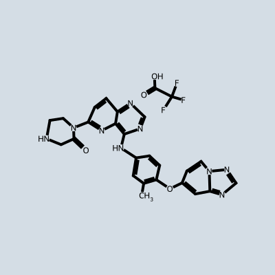 Cc1cc(Nc2ncnc3ccc(N4CCNCC4=O)nc23)ccc1Oc1ccn2ncnc2c1.O=C(O)C(F)(F)F